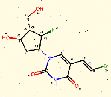 O=c1[nH]c(=O)n([C@@H]2C[C@@H](O)[C@H](CO)[C@H]2F)cc1/C=C/Br